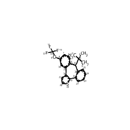 CC(C)(C)C1c2ccc(OC(F)(F)F)cc2-c2ccsc2-c2ccccc21